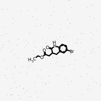 CCOC(=O)CC1Cc2cc(Br)ccc2NC1=O